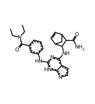 CCN(CC)C(=O)c1cccc(Nc2nc(NC3C4C=CC(C4)C3C(N)=O)c3ccnc-3[nH]2)c1